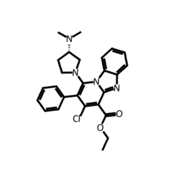 CCOC(=O)c1c(Cl)c(-c2ccccc2)c(N2CC[C@H](N(C)C)C2)n2c1nc1ccccc12